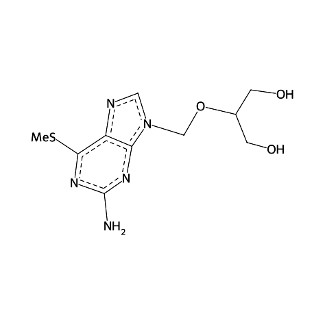 CSc1nc(N)nc2c1ncn2COC(CO)CO